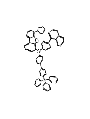 c1ccc(-c2cccc3c2oc2c(N(c4ccc(-c5ccc(S(c6ccccc6)(c6ccccc6)c6ccccc6)cc5)cc4)c4ccc(-c5cccc6ccccc56)cc4)cccc23)cc1